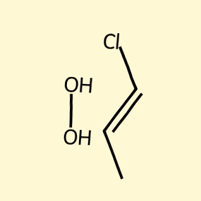 CC=CCl.OO